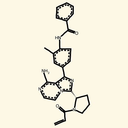 C=CC(=O)N1CCC[C@H]1c1nc(-c2ccc(NC(=O)c3ccccc3)c(C)c2)c2c(N)nccn12